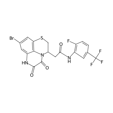 O=C(CC1CSc2cc(Br)cc3[nH]c(=O)c(=O)n1c23)Nc1cc(C(F)(F)F)ccc1F